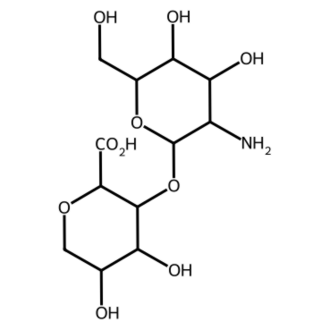 NC1C(OC2C(C(=O)O)OCC(O)C2O)OC(CO)C(O)C1O